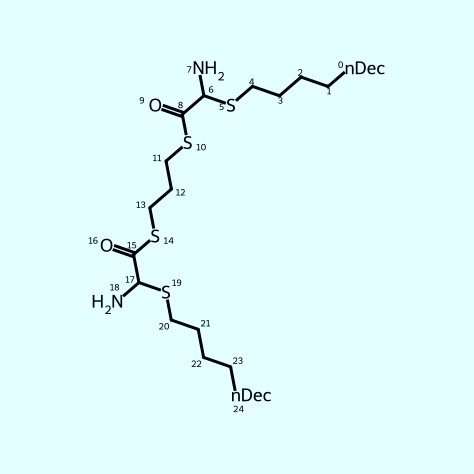 CCCCCCCCCCCCCCSC(N)C(=O)SCCCSC(=O)C(N)SCCCCCCCCCCCCCC